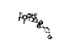 Fc1cc(OC(F)(F)c2c(F)cc(C3OCC(C4CCC(CC5CCC5)CC4)CO3)cc2F)cc(F)c1F